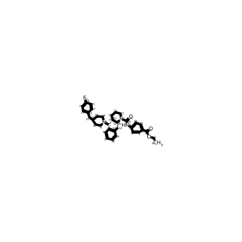 CCOC(=O)c1ccc(NC(=O)N2CCC[C@@H](CN3CCC(Cc4ccc(F)cc4)CC3)[C@H]2Cc2ccccc2)cc1